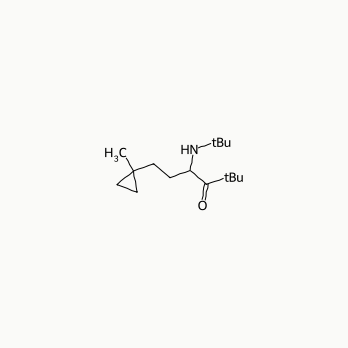 CC1(CCC(NC(C)(C)C)C(=O)C(C)(C)C)CC1